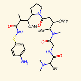 CCC(C)C(C(CC(=O)N1CCCC1C(OC)C(C)C(=O)NSc1ccc(N)cc1)OC)N(C)C(=O)CNC(=O)C(C(C)C)N(C)C